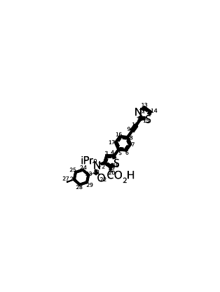 CC(C)N(c1cc(-c2ccc(C#Cc3nccs3)cc2)sc1C(=O)O)C(=O)[C@H]1CC[C@H](C)CC1